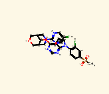 CS(=O)(=O)c1ccc(-n2ccc3c(OC4C5COCC4CN(c4ncc(F)cn4)C5)ncnc32)c(F)c1